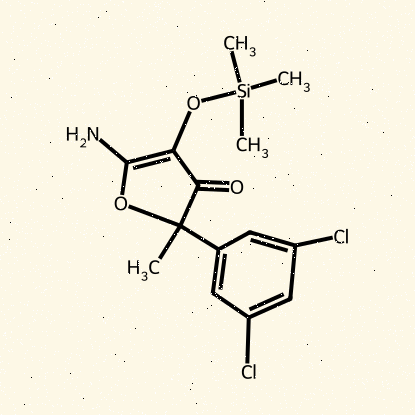 CC1(c2cc(Cl)cc(Cl)c2)OC(N)=C(O[Si](C)(C)C)C1=O